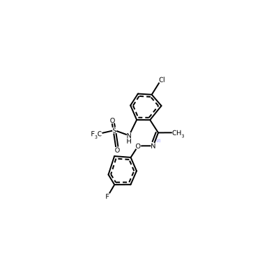 C/C(=N/Oc1ccc(F)cc1)c1cc(Cl)ccc1NS(=O)(=O)C(F)(F)F